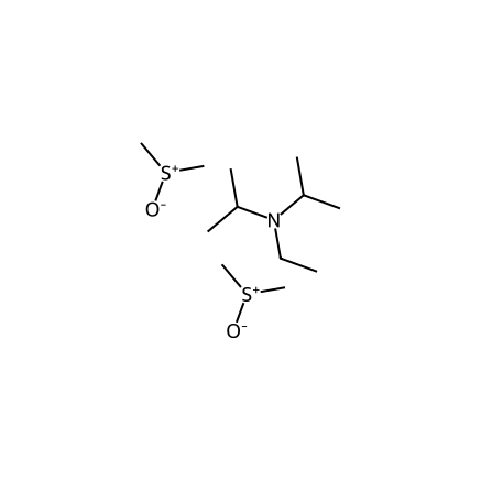 CCN(C(C)C)C(C)C.C[S+](C)[O-].C[S+](C)[O-]